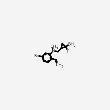 BC1(F)CC1CN(C)c1cc(Br)ccc1C=C